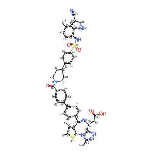 Cc1sc2c(c1C)C(c1ccc(-c3ccc(C(=O)N4CCC(c5ccc(S(=O)(=O)Nc6ccc(C)c7c(C#N)c[nH]c67)cc5)CC4)cc3)cc1)=N[C@@H](CC(=O)O)c1nnc(C)n1-2